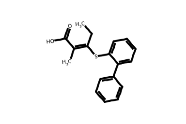 CC/C(Sc1ccccc1-c1ccccc1)=C(/C)C(=O)O